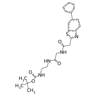 CC(C)(C)OC(=O)NCCNC(=O)CNC(=O)Cc1nc2ccc(-c3ccccc3)cc2s1